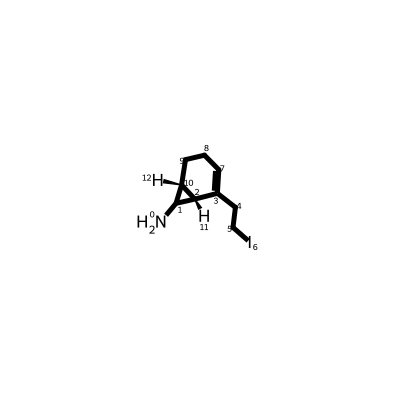 NC1[C@H]2C(CCI)=CCC[C@@H]12